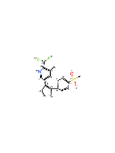 Cc1cc(C2=C(c3ccc(S(C)(=O)=O)cc3)CCC2)cnc1C(F)F